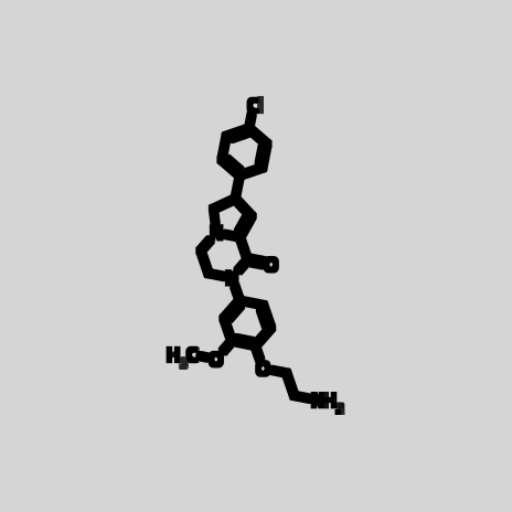 COc1cc(N2CCN3CC(c4ccc(Cl)cc4)C=C3C2=O)ccc1OCCN